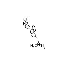 Cc1cn2cc(-c3cc4ccc(CCCN(C)C)cc4oc3=O)ccc2n1